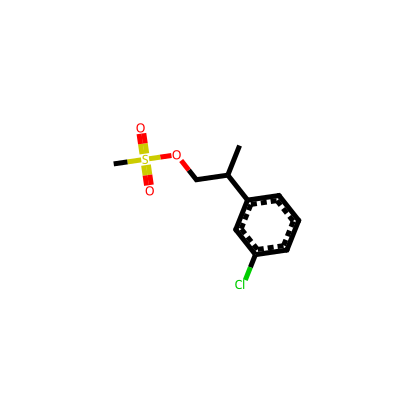 CC(COS(C)(=O)=O)c1cccc(Cl)c1